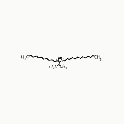 CCCCCCCCCCCCCN1C=CN(CCCCCCCCCCC)C1C(C)C